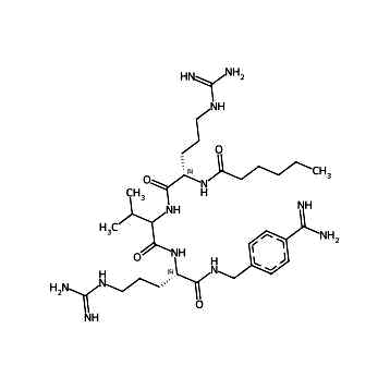 CCCCCC(=O)N[C@@H](CCCNC(=N)N)C(=O)NC(C(=O)N[C@@H](CCCNC(=N)N)C(=O)NCc1ccc(C(=N)N)cc1)C(C)C